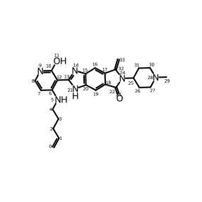 C=CCCCNc1ccnc(O)c1-c1nc2cc3c(cc2[nH]1)C(=O)N(C1CCN(C)CC1)C3=C